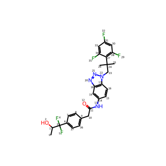 CC(O)C(F)(F)c1ccc(CC(=O)Nc2ccc3c(c2)nnn3CC(C)(C)c2c(F)cc(F)cc2F)cc1